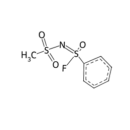 CS(=O)(=O)N=S(=O)(F)c1ccccc1